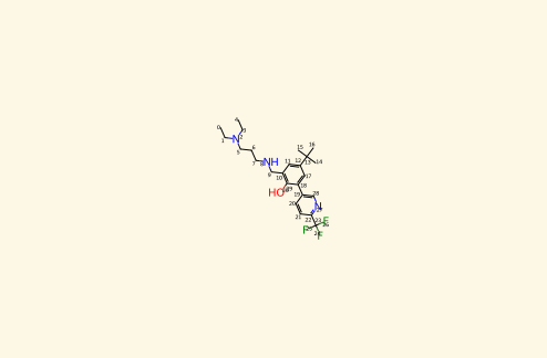 CCN(CC)CCCNCc1cc(C(C)(C)C)cc(-c2ccc(C(F)(F)F)nc2)c1O